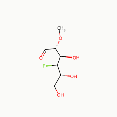 CO[C@@H](C=O)[C@@H](O)[C@H](F)[C@H](O)CO